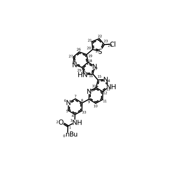 CCCCC(=O)Nc1cncc(-c2ccc3[nH]nc(-c4nc5c(-c6ccc(Cl)s6)ccnc5[nH]4)c3n2)c1